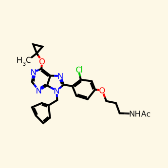 CC(=O)NCCCOc1ccc(-c2nc3c(OC4(C)CC4)ncnc3n2Cc2ccccc2)c(Cl)c1